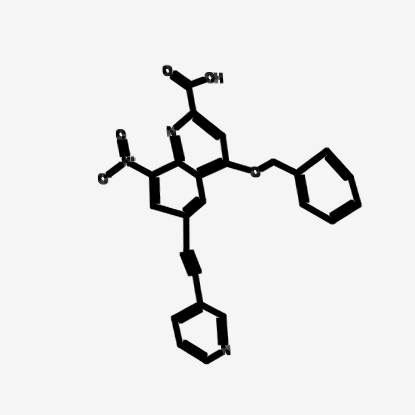 O=C(O)c1cc(OCc2ccccc2)c2cc(C#Cc3cccnc3)cc([N+](=O)[O-])c2n1